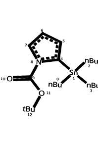 CCC[CH2][Sn]([CH2]CCC)([CH2]CCC)[c]1cccn1C(=O)OC(C)(C)C